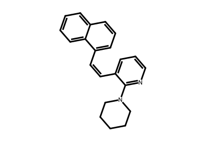 C(=C/c1cccc2ccccc12)/c1cccnc1N1CCCCC1